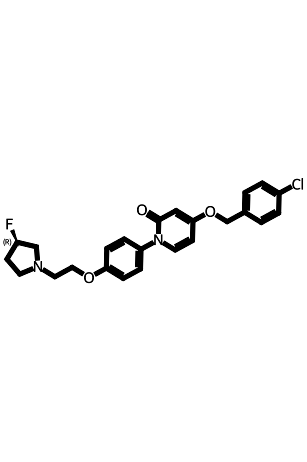 O=c1cc(OCc2ccc(Cl)cc2)ccn1-c1ccc(OCCN2CC[C@@H](F)C2)cc1